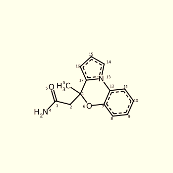 CC1(CC(N)=O)Oc2ccccc2-n2cccc21